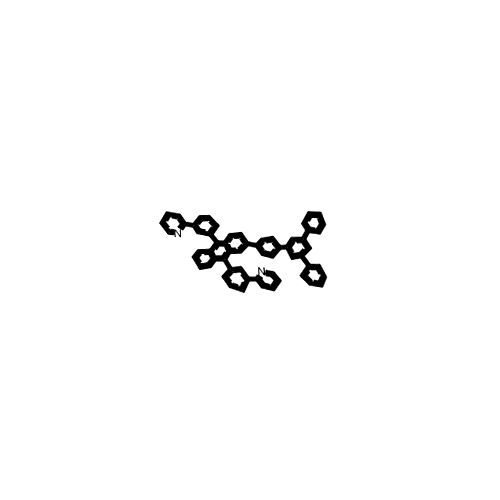 c1ccc(-c2cc(-c3ccccc3)cc(-c3ccc(-c4ccc5c(-c6cccc(-c7ccccn7)c6)c6ccccc6c(-c6cccc(-c7ccccn7)c6)c5c4)cc3)c2)cc1